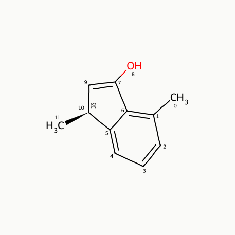 Cc1cccc2c1C(O)=C[C@@H]2C